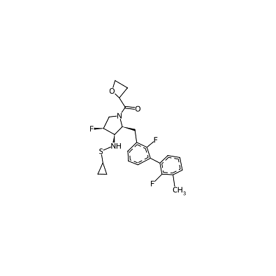 Cc1cccc(-c2cccc(C[C@H]3[C@@H](NSC4CC4)[C@@H](F)CN3C(=O)C3CCO3)c2F)c1F